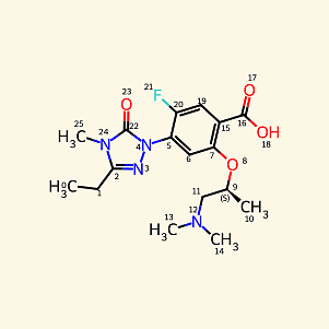 CCc1nn(-c2cc(O[C@@H](C)CN(C)C)c(C(=O)O)cc2F)c(=O)n1C